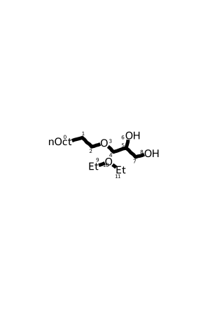 CCCCCCCCCCOCC(O)CO.CCOCC